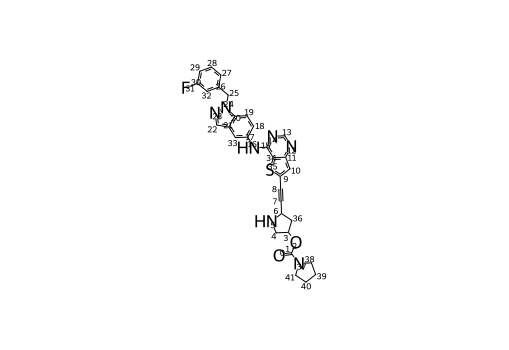 O=C(OC1CNC(C#Cc2cc3ncnc(Nc4ccc5c(cnn5Cc5cccc(F)c5)c4)c3s2)C1)N1CCCC1